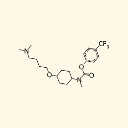 CN(C)CCCCOC1CCC(N(C)C(=O)Oc2ccc(C(F)(F)F)cc2)CC1